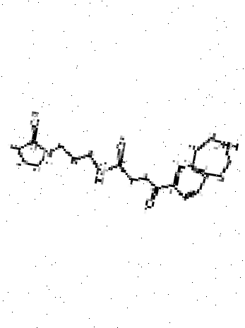 O=C(CCC(=O)c1ccc2c(c1)CCNCC2)NCCCN1CCCC1=O